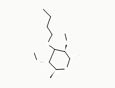 CCCCOC1[C@@H](OC)[C@H](C)O[C@@H](C)[C@@H]1OC